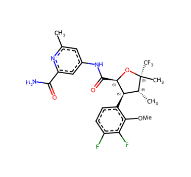 COc1c([C@H]2[C@@H](C(=O)Nc3cc(C)nc(C(N)=O)c3)O[C@](C)(C(F)(F)F)[C@@H]2C)ccc(F)c1F